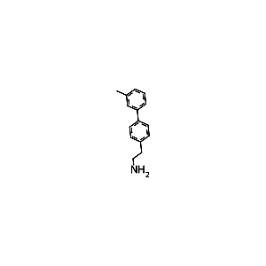 Cc1cccc(-c2ccc(CCN)cc2)c1